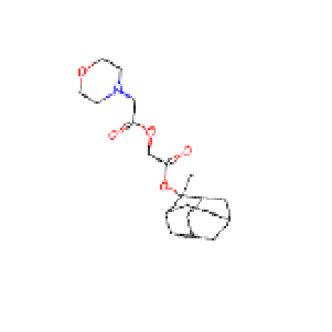 CC1(OC(=O)COC(=O)CN2CCOCC2)C2CC3CC(C2)CC1C3